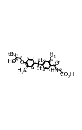 CCC(CC)(c1ccc(OC[C@@H](O)C(C)(C)C)c(C)c1)c1ccc(C(=O)NCC(=O)O)c(C)c1